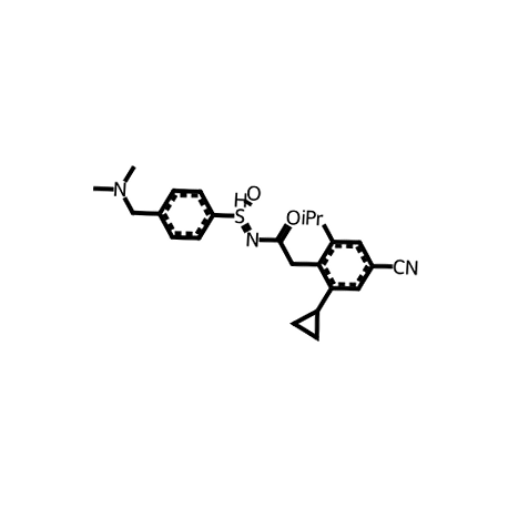 CC(C)c1cc(C#N)cc(C2CC2)c1CC(=O)N=[SH](=O)c1ccc(CN(C)C)cc1